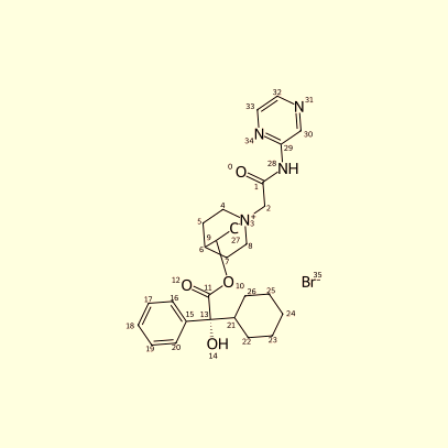 O=C(C[N+]12CCC(CC1)C(OC(=O)[C@](O)(c1ccccc1)C1CCCCC1)C2)Nc1cnccn1.[Br-]